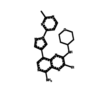 CCc1nc2c(N)ncc(-c3cnn(-c4ccnc(C)n4)c3)c2nc1NC1CCOCC1